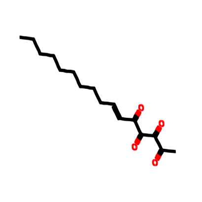 CCCCCCCCCC=CC(=O)C(=O)C(=O)C(C)=O